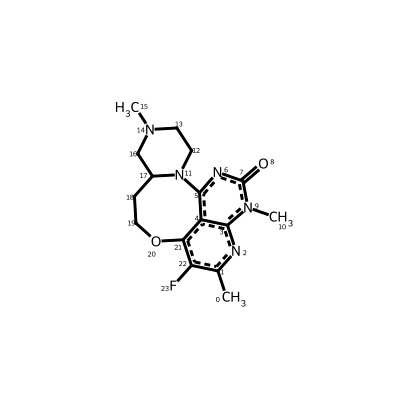 Cc1nc2c3c(nc(=O)n2C)N2CCN(C)CC2CCOc3c1F